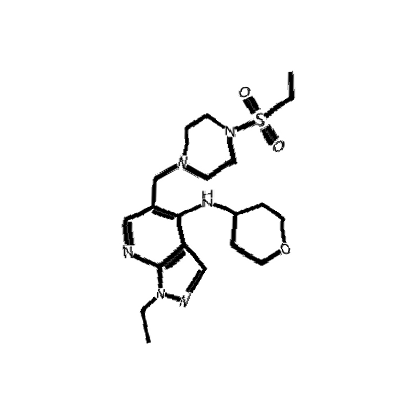 CCn1ncc2c(NC3CCOCC3)c(CN3CCN(S(=O)(=O)CC)CC3)cnc21